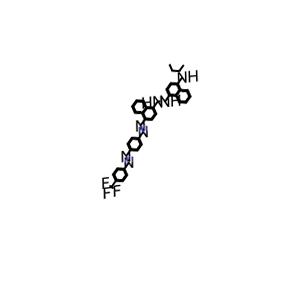 CCC(C)Nc1ccc(NNc2ccc(/N=N/c3ccc(/N=N/c4ccc(C(F)(F)F)cc4)cc3)c3ccccc23)c2ccccc12